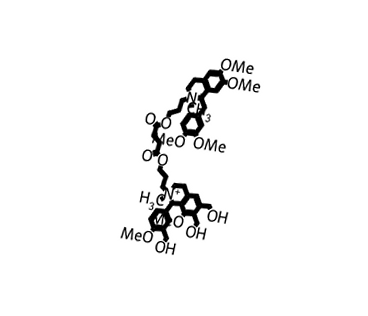 COc1ccc(C2c3c(cc(CO)c(CO)c3OC)CC[N+]2(C)CCCOC(=O)CCC(=O)OCCC[N+]2(C)CCc3cc(OC)c(OC)cc3C2Cc2ccc(OC)c(OC)c2)cc1CO